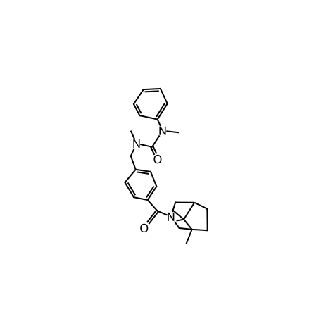 CN(Cc1ccc(C(=O)N2CC3CCC(C)(C2)C3(C)C)cc1)C(=O)N(C)c1ccccc1